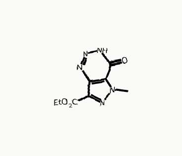 CCOC(=O)c1nn(C)c2c(=O)[nH]nnc12